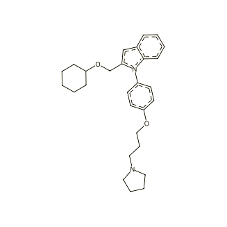 c1ccc2c(c1)cc(COC1CCCCC1)n2-c1ccc(OCCCN2CCCC2)cc1